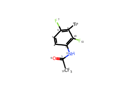 O=C(Nc1ccc(F)[c]([Ti])c1F)C(F)(F)F